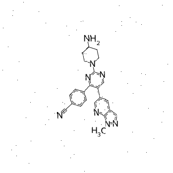 Cn1ncc2cc(-c3cnc(N4CCC(N)CC4)nc3-c3ccc(C#N)cc3)cnc21